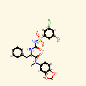 CN(C(=O)C(Cc1ccccc1)NC(=O)NS(=O)(=O)c1cc(Cl)cc(Cl)c1)c1ccc2c(c1)OCO2